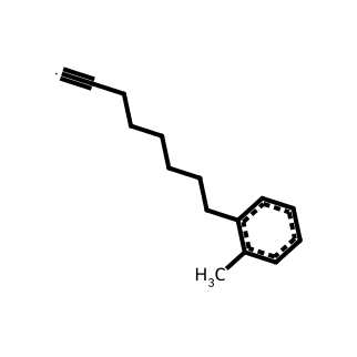 [C]#CCCCCCCc1ccccc1C